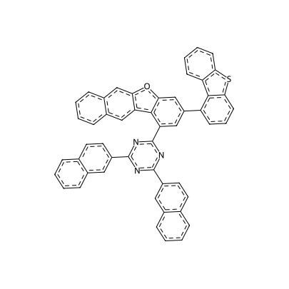 c1ccc2cc(-c3nc(-c4ccc5ccccc5c4)nc(-c4cc(-c5cccc6sc7ccccc7c56)cc5oc6cc7ccccc7cc6c45)n3)ccc2c1